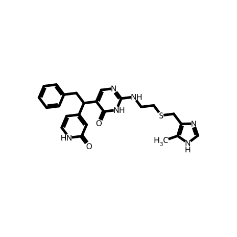 Cc1[nH]cnc1CSCCNc1ncc(C(Cc2ccccc2)c2cc[nH]c(=O)c2)c(=O)[nH]1